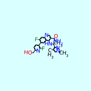 Cc1cn(C)nc1[C@H](C)Nc1c(C(N)=O)cnc2cc(F)c(-c3ccc(CO)nc3F)cc12